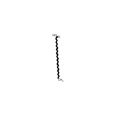 CCCCCC=CCC=CCC=CCC=CCC=CCCCCCC(=O)O